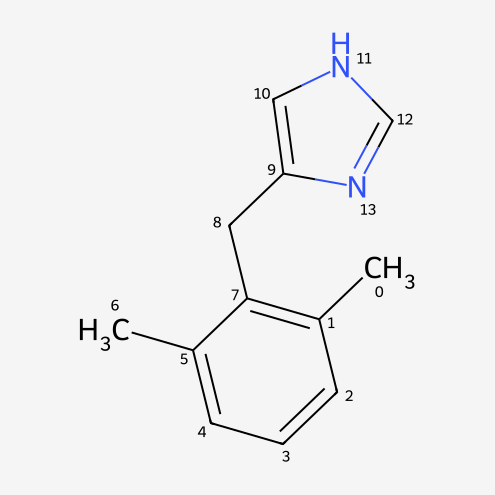 Cc1cccc(C)c1Cc1c[nH]cn1